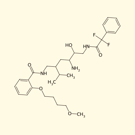 COCCCCOc1ccccc1C(=O)NCC(CC(N)C(O)CNC(=O)C(F)(F)c1ccccc1)C(C)C